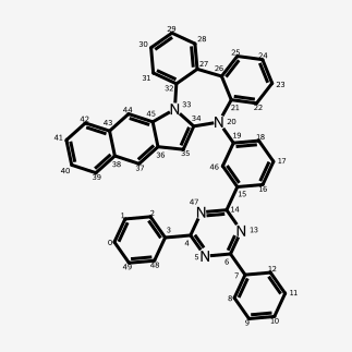 c1ccc(-c2nc(-c3ccccc3)nc(-c3cccc(N4c5ccccc5-c5ccccc5-n5c4cc4cc6ccccc6cc45)c3)n2)cc1